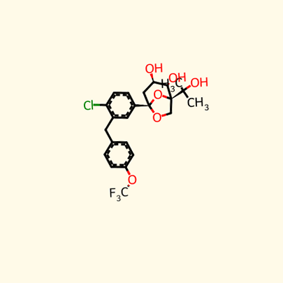 CC(C)(O)[C@]12CO[C@](c3ccc(Cl)c(Cc4ccc(OC(F)(F)F)cc4)c3)(C[C@@H](O)[C@@H]1O)O2